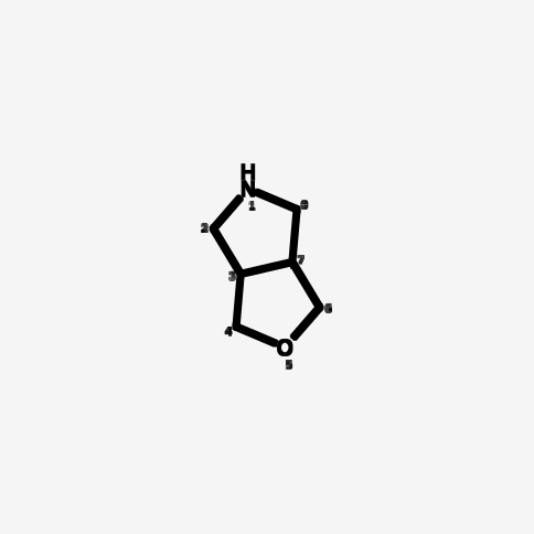 C1NCC2COC[C]12